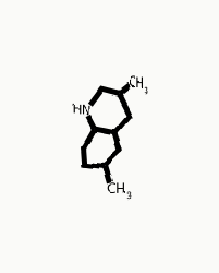 CC1CCC2NCC(C)CC2C1